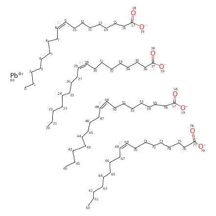 CCCCCCCC/C=C\CCCCCCCC(=O)[O-].CCCCCCCC/C=C\CCCCCCCC(=O)[O-].CCCCCCCC/C=C\CCCCCCCC(=O)[O-].CCCCCCCC/C=C\CCCCCCCC(=O)[O-].[Pb+4]